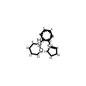 C1=[Si](c2ccccc2[SiH]2CCCCO2)CCC1